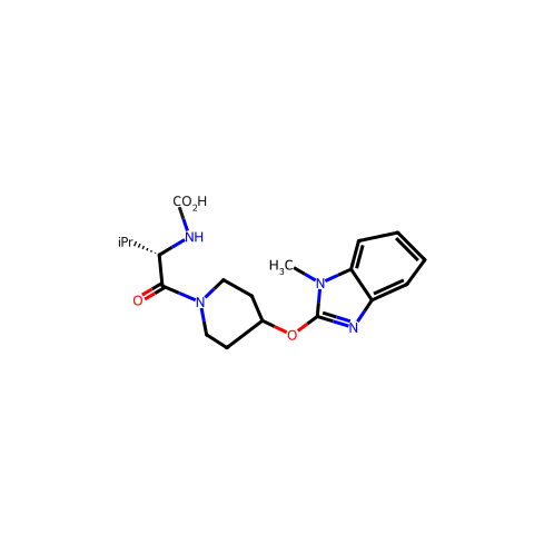 CC(C)[C@H](NC(=O)O)C(=O)N1CCC(Oc2nc3ccccc3n2C)CC1